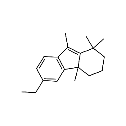 CCc1ccc2c(c1)C1(C)CCCC(C)(C)C1=C2C